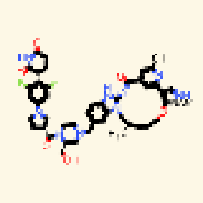 CN/C1=C(\C=N)c2cc(cc(C)n2)C(=O)/N=C2\Nc3ccc(CN4CCN(C(=O)[C@@H]5CCN(c6cc(F)c([C@H]7CCC(=O)NC7=O)c(F)c6)C5)[C@H](CO)C4)cc3N2C[C@H](C)CCCO1